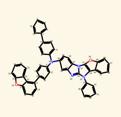 c1ccc(-c2ccc(N(c3ccc(-c4cccc5oc6ccccc6c45)cc3)c3ccc4c(c3)nc3n(-c5ccccc5)c5c6ccccc6oc5n43)cc2)cc1